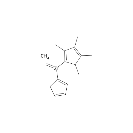 C.[CH2]=[Zr]([C]1=CC=CC1)[C]1=C(C)C(C)=C(C)C1C